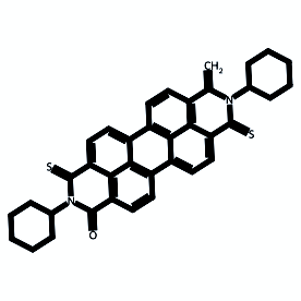 C=c1c2ccc3c4ccc5c6c(ccc(c7ccc(c(=S)n1C1CCCCC1)c2c37)c64)C(=O)N(C1CCCCC1)C5=S